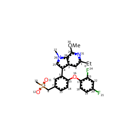 CCc1cc2c(-c3cc(CS(C)(=O)=O)ccc3Oc3ccc(F)cc3F)cn(C)c2c(OC)n1